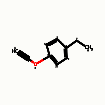 C#COc1ccc(CC)cc1